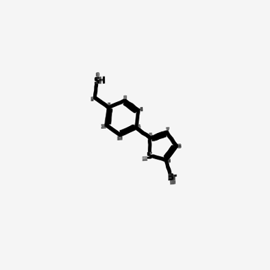 SCc1ccc(-c2ccc(Br)s2)cc1